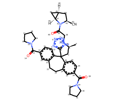 C[C@@H](CC1(c2nnn[nH]2)c2ccc(C(=O)N3CCCC3)cc2CCc2cc(C(=O)N3CCCC3)ccc21)NCC(=O)N1[C@H](C#N)C[C@@H]2C[C@@H]21